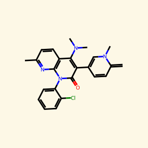 C=C1C=CC(c2c(N(C)C)c3ccc(C)nc3n(-c3ccccc3Cl)c2=O)=CN1C